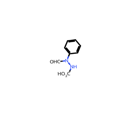 O=CN(NC(=O)O)c1ccccc1